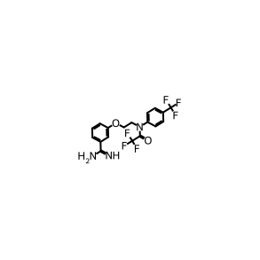 N=C(N)c1cccc(OCCN(C(=O)C(F)(F)F)c2ccc(C(F)(F)F)cc2)c1